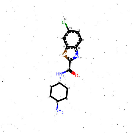 N[C@H]1CC[C@H](NC(=O)c2nc3ccc(Cl)cc3s2)CC1